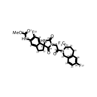 COC(=O)Nc1cc2c(cc1F)C1(CC2)NC(=O)N(CC(=O)N2Cc3ccc(F)cc3CC[C@H]2C(F)(F)F)C1=O